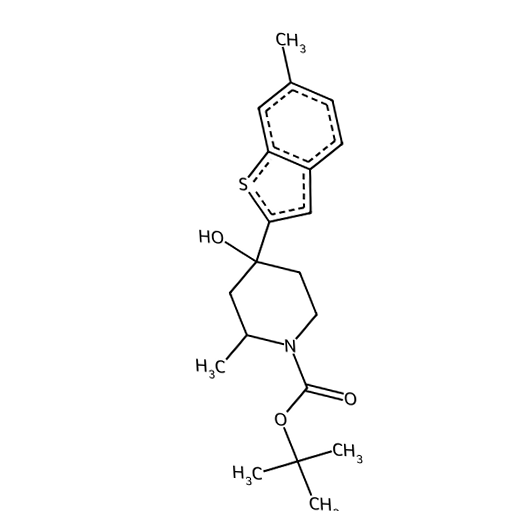 Cc1ccc2cc(C3(O)CCN(C(=O)OC(C)(C)C)C(C)C3)sc2c1